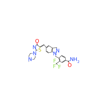 CN1CCN(C2=NC(=O)/C(=C/c3ccc4c(cnn4Cc4ccc(C(N)=O)cc4C(F)(F)F)c3)S2)CC1